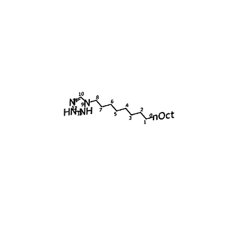 CCCCCCCCCCCCCCCCN1C=NNN1